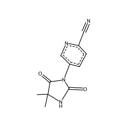 CC1(C)NC(=O)N(c2ccc(C#N)nc2)C1=O